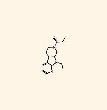 CCC(=O)N1CCC2c3cccnc3N(CC)C2C1